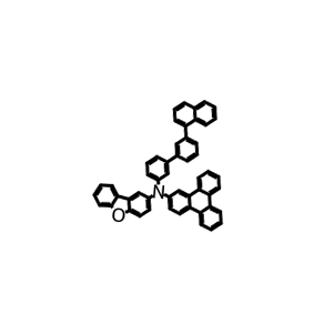 c1cc(-c2cccc(N(c3ccc4oc5ccccc5c4c3)c3ccc4c5ccccc5c5ccccc5c4c3)c2)cc(-c2cccc3ccccc23)c1